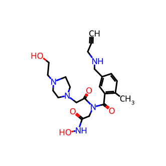 C#CCNCc1ccc(C)c(C(=O)N(CC(=O)NO)C(=O)CN2CCN(CCO)CC2)c1